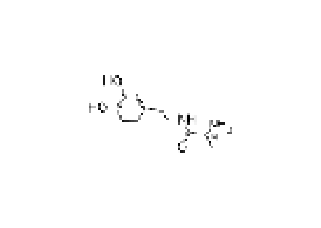 C[C@H](N)C(=O)NCCc1ccc(O)c(O)c1